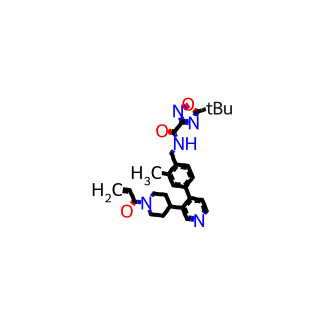 C=CC(=O)N1CCC(c2cnccc2-c2ccc(CNC(=O)c3noc(C(C)(C)C)n3)c(C)c2)CC1